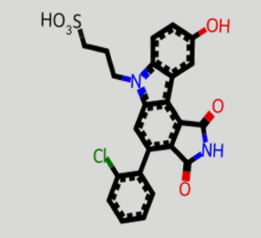 O=C1NC(=O)c2c1c(-c1ccccc1Cl)cc1c2c2cc(O)ccc2n1CCCS(=O)(=O)O